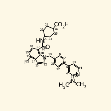 CN(C)c1cc(-c2ccc(Cn3ccc4c(F)ccc(C(=O)NC5CCC(C(=O)O)CC5)c43)cc2)ccn1